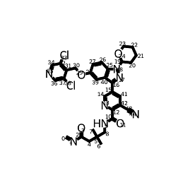 C=NC(=O)CC(C)(C)CNC(=O)c1ncc(-c2nn(C3CCCCO3)c3ccc(OCc4c(Cl)cncc4Cl)cc23)cc1C#N